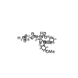 COc1ccc(CN2C(=O)C(NC(=O)OCc3ccccc3)C2CNC(=O)OCCS(C)(=O)=O)c(OC)c1